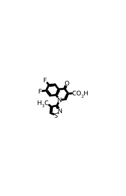 Cc1csnc1-n1cc(C(=O)O)c(=O)c2cc(F)c(F)cc21